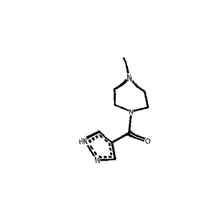 CN1CCN(C(=O)c2cn[nH]c2)CC1